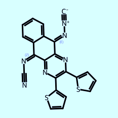 [C-]#[N+]/N=C1\c2ccccc2/C(=N/C#N)c2nc(-c3cccs3)c(-c3cccs3)nc21